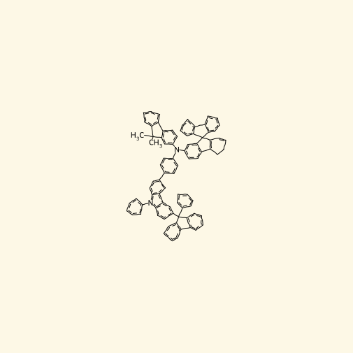 CC1(C)c2ccccc2-c2ccc(N(c3ccc(-c4ccc5c(c4)c4cc(C6(c7ccccc7)c7ccccc7-c7ccccc76)ccc4n5-c4ccccc4)cc3)c3ccc4c(c3)C3(C5=C4CCC=C5)c4ccccc4-c4ccccc43)cc21